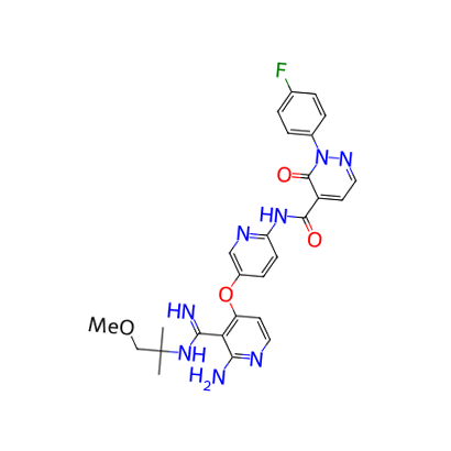 COCC(C)(C)NC(=N)c1c(Oc2ccc(NC(=O)c3ccnn(-c4ccc(F)cc4)c3=O)nc2)ccnc1N